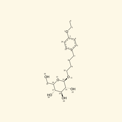 CCOc1ccc(CCCCO[C@@H]2OC(CO)[C@@H](O)[C@H](O)[C@H]2O)cc1